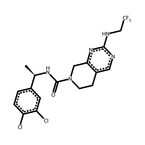 C[C@@H](NC(=O)N1CCc2cnc(NCC(F)(F)F)nc2C1)c1ccc(Cl)c(Cl)c1